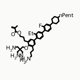 C=C(C)C(=O)OCCCc1cc(-c2ccc(-c3ccc(C4CCC(CCCCC)CC4)cc3F)cc2CC)cc(CCCN)c1OCC(CN)(CN)CN